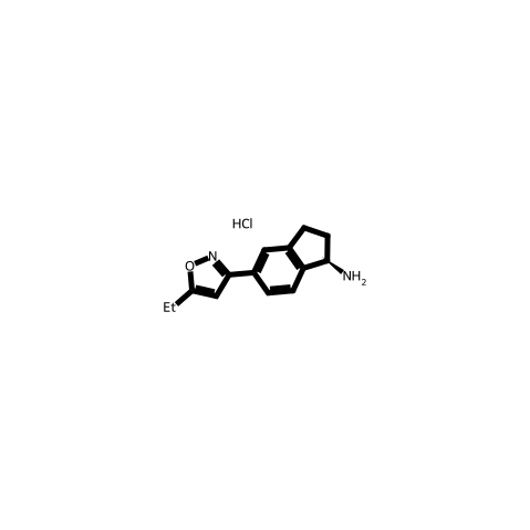 CCc1cc(-c2ccc3c(c2)CC[C@H]3N)no1.Cl